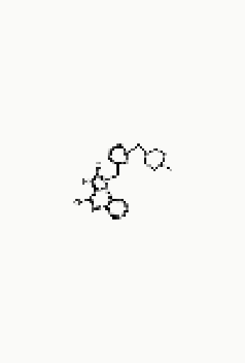 CN1CCN(Cc2cccc(Cn3c(=O)[nH]c4c(Cl)nc5ccccc5c43)c2)CC1